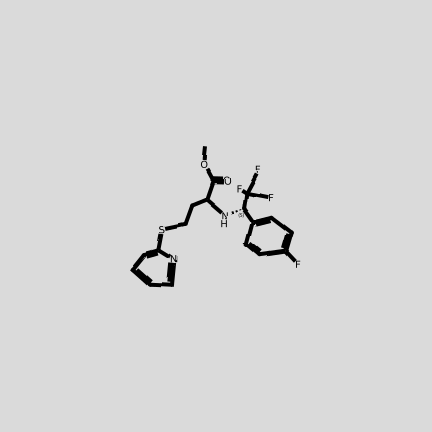 COC(=O)C(CCSc1ccccn1)N[C@@H](c1ccc(F)cc1)C(F)(F)F